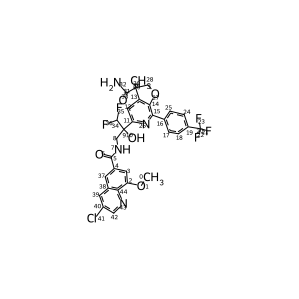 COc1cc(C(=O)NCC(O)(c2cc3c(c(-c4ccc(C(F)(F)F)cc4)n2)OC[C@]3(C)C(N)=O)C(F)F)cc2cc(Cl)cnc12